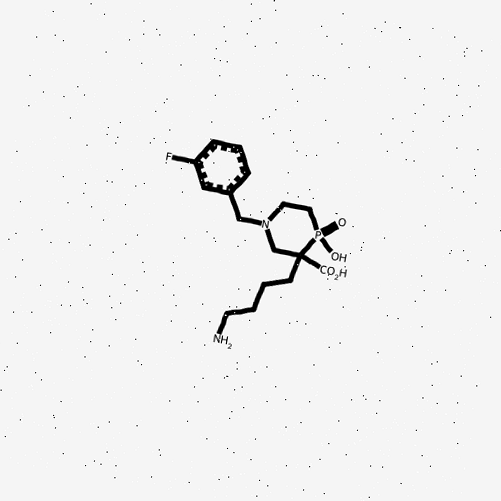 NCCCCC1(C(=O)O)CN(Cc2cccc(F)c2)CCP1(=O)O